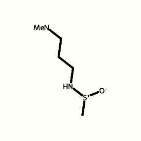 CNCCCN[S+](C)[O-]